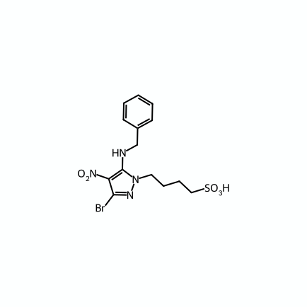 O=[N+]([O-])c1c(Br)nn(CCCCS(=O)(=O)O)c1NCc1ccccc1